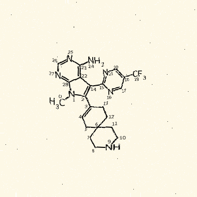 Cn1c(C2=CCC3(CCNCC3)CC2)c(-c2ncc(C(F)(F)F)cn2)c2c(N)ncnc21